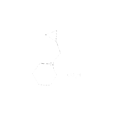 O=C(O)[C@@H]1CCCCN1CC1CC1